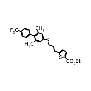 CCOC(=O)c1ccc(CCCSc2cc(C)c(-c3ccc(C(F)(F)F)cc3)c(C)c2)s1